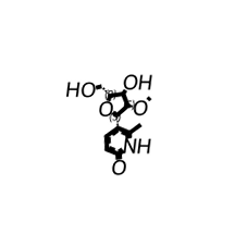 CO[C@H]1C(O)[C@@H](CO)O[C@H]1c1ccc(=O)[nH]c1C